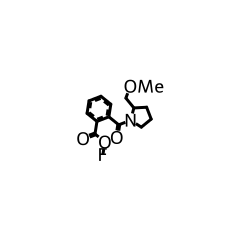 COCC1CCCN1C(=O)c1ccccc1C(=O)OF